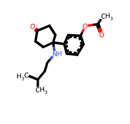 CC(=O)Oc1cccc(C2(NCCC(C)C)CCC(=O)CC2)c1